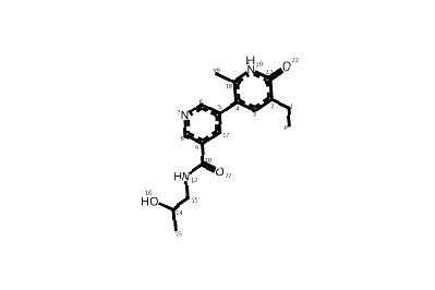 CCc1cc(-c2cncc(C(=O)NCC(C)O)c2)c(C)[nH]c1=O